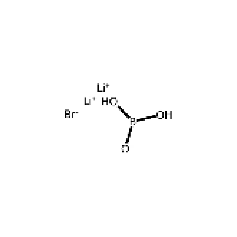 [Br-].[Li+].[Li+].[O-]B(O)O